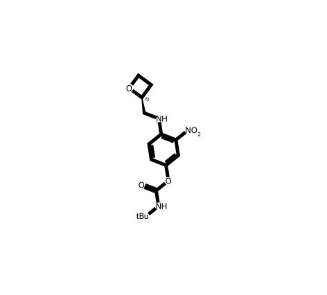 CC(C)(C)NC(=O)Oc1ccc(NC[C@@H]2CCO2)c([N+](=O)[O-])c1